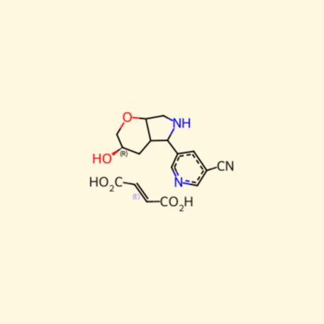 N#Cc1cncc(C2NCC3OC[C@H](O)CC32)c1.O=C(O)/C=C/C(=O)O